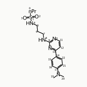 CCCS(=O)(=O)NCCCNc1nccc(-c2ccc(N(C)C)cc2)n1